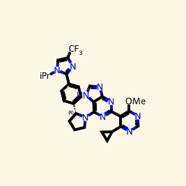 COc1ncnc(C2CC2)c1-c1nc(N2CCC[C@@H]2c2ccc(-c3nc(C(F)(F)F)cn3C(C)C)cc2)c2[nH]cnc2n1